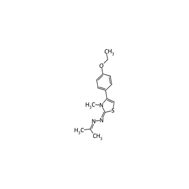 CCOc1ccc(-c2csc(=NN=C(C)C)n2C)cc1